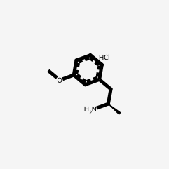 COc1cccc(C[C@@H](C)N)c1.Cl